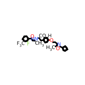 C/C(=C/C(=O)c1cccc(C(F)(F)F)c1F)N[C@@H](Cc1ccc(OCCc2nc(-c3ccccc3)oc2C)cc1)C(=O)O